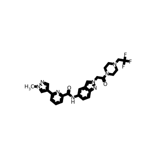 Cn1cc(-c2cccc(C(=O)Nc3ccc4nn(CC(=O)N5CCN(CC(F)(F)F)CC5)cc4c3)n2)cn1